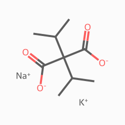 CC(C)C(C(=O)[O-])(C(=O)[O-])C(C)C.[K+].[Na+]